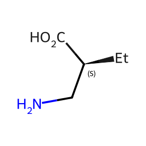 CC[C@@H](CN)C(=O)O